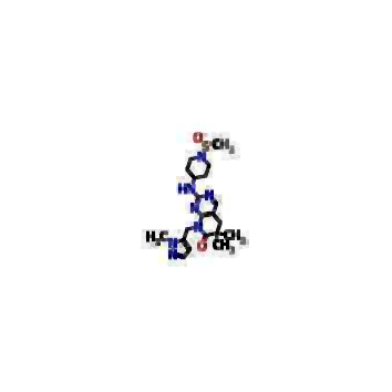 Cn1nccc1CN1C(=O)C(C)(C)Cc2cnc(NC3CCN([S+](C)[O-])CC3)nc21